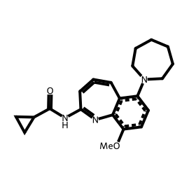 COc1ccc(N2CCCCCC2)c2c1N=C(NC(=O)C1CC1)C=C=C2